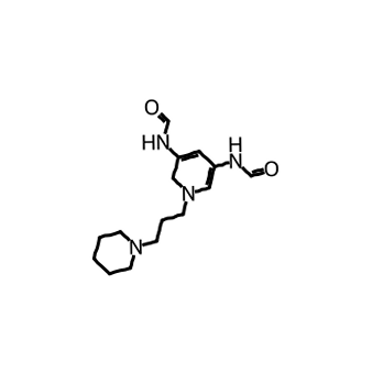 O=CNC1=CN(CCCN2CCCCC2)CC(NC=O)=C1